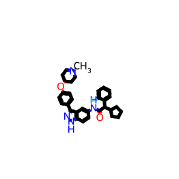 CN1CCC(Oc2ccc(-c3n[nH]c4ccc(NC(=O)C(c5ccccc5F)C5CCCC5)cc34)cc2)CC1